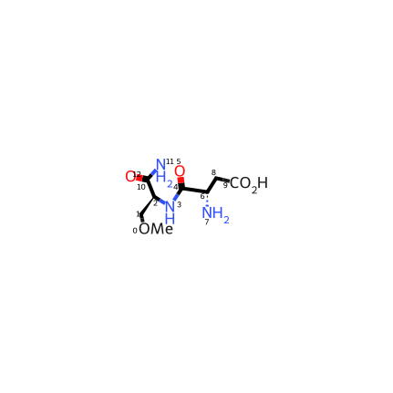 COC[C@H](NC(=O)[C@@H](N)CC(=O)O)C(N)=O